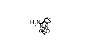 CS(=O)(=O)c1nc(N)c2ccsc2n1